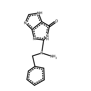 NN(Cc1ccccc1)c1nc2nc[nH]c2c(=O)[nH]1